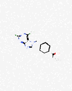 COC(=O)[C@H]1CC[C@H](Cn2cnc3nc(Cl)nc(Cl)c32)CC1